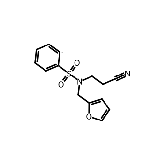 N#CCCN(Cc1ccco1)S(=O)(=O)c1[c]cccc1